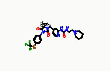 CC1(C)C(=O)N(c2ccc(SC(F)(F)F)cc2)C(=O)N1Cc1ccnc(NC(=O)NCCN2CCCCC2)c1